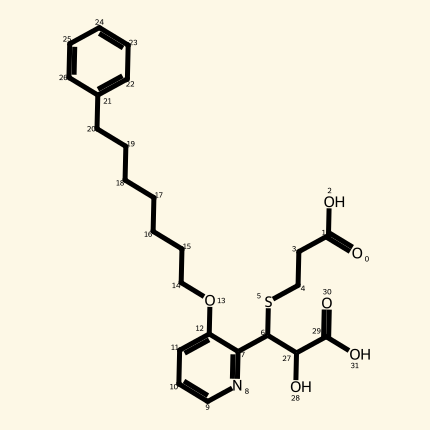 O=C(O)CCSC(c1ncccc1OCCCCCCCc1ccccc1)C(O)C(=O)O